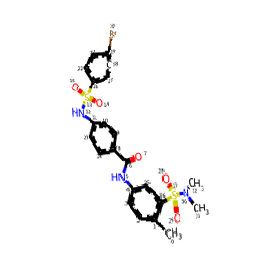 Cc1ccc(NC(=O)c2ccc(NS(=O)(=O)c3ccc(Br)cc3)cc2)cc1S(=O)(=O)N(C)C